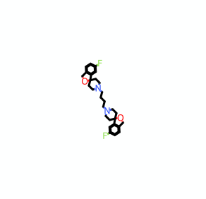 Fc1ccc2c(c1)C1(CCN(CCCCN3CCC4(CC3)OCc3ccc(F)cc34)CC1)OC2